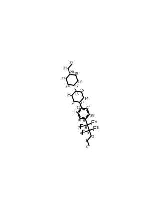 CCCC(F)(F)C(F)(F)c1ccc(C2CCC([C@H]3CC[C@H](CC)CC3)CC2)cc1